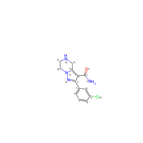 NC(=O)c1c(-c2cccc(Cl)c2)nn2c1CNCC2